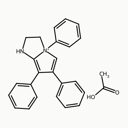 C1=C(c2ccccc2)C(c2ccccc2)=C2NCC[N+]12c1ccccc1.CC(=O)O